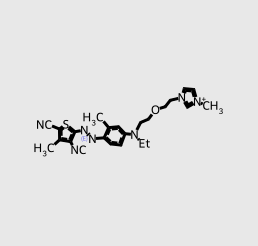 [C-]#[N+]c1c(/N=N/c2ccc(N(CC)CCOCCn3cc[n+](C)c3)cc2C)sc(C#N)c1C